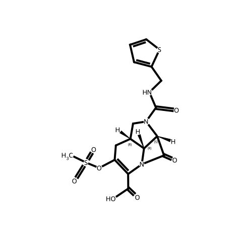 CS(=O)(=O)OC1=C(C(=O)O)N2C(=O)[C@@H]3[C@H]2[C@H](C1)CN3C(=O)NCc1cccs1